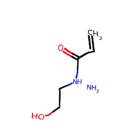 C=CC(=O)NCCO.N